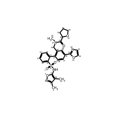 Cc1noc(NS(=O)(=O)c2ccccc2-c2ccc(-c3ncco3)cc2CN(C)C(=O)C2CCCO2)c1C